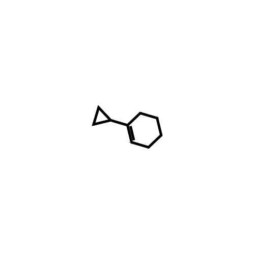 [C]1=C(C2CC2)CCCC1